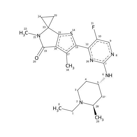 CCN1CC[C@H](Nc2ncc(F)c(-c3sc4c(c3C)C(=O)N(C)C43CC3)n2)C[C@H]1C